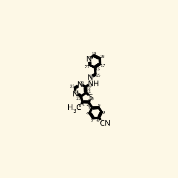 Cc1c(-c2ccc(C#N)cc2)sc2c(N/N=C/c3cccnc3)ncnc12